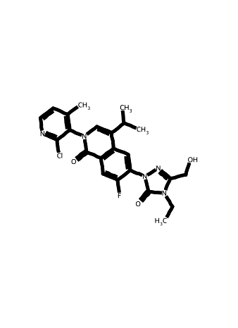 CCn1c(CO)nn(-c2cc3c(C(C)C)cn(-c4c(C)ccnc4Cl)c(=O)c3cc2F)c1=O